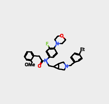 CCc1ccc(CN2CC3C(C2)C3CN(C(=O)Cc2ccccc2OC)c2ccc(N3CCOCC3)c(F)c2)cc1